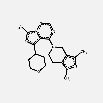 Cc1nn(C)c2c1CN(c1ncnn3c(C)nc(C4CCOCC4)c13)CC2